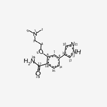 CN(C)CCOc1cc(-c2cn[nH]c2)ccc1C(N)=O